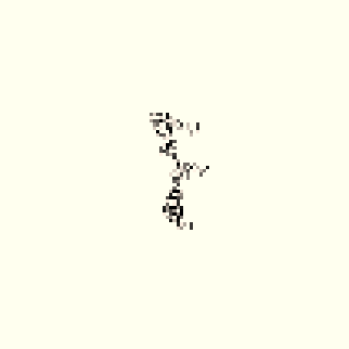 C[C@]12CC[C@@H]3c4ccc(OCC(=O)NC(CCCCNC(=O)CN5CCN(CC(=O)O)CCN(CC(=O)O)CC5)C(=O)O)cc4CC[C@H]3[C@@H]1CC[C@@H]2O